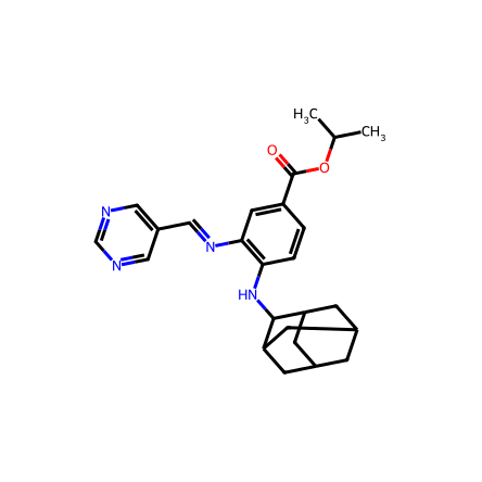 CC(C)OC(=O)c1ccc(NC2C3CC4CC(C3)CC2C4)c(N=Cc2cncnc2)c1